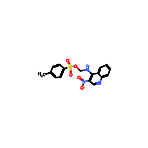 Cc1ccc(S(=O)(=O)OCNc2c([N+](=O)[O-])cnc3ccccc23)cc1